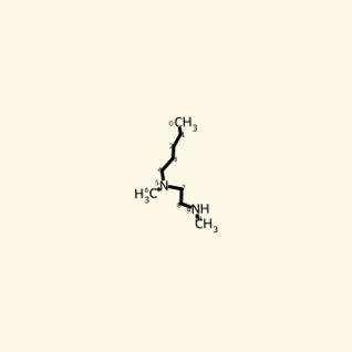 CCCCCN(C)CCNC